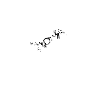 CC(C)Cn1nnc2c1CC[C@H]1[C@@H](CC2)[C@H]1COC(=O)NC(C)C